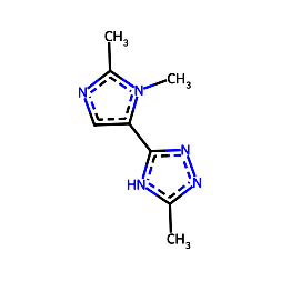 Cc1nnc(-c2cnc(C)n2C)[nH]1